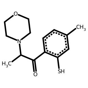 Cc1ccc(C(=O)C(C)N2CCOCC2)c(S)c1